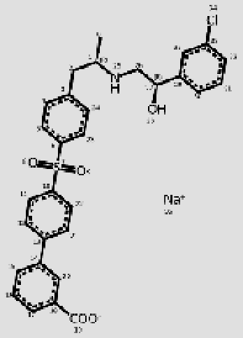 C[C@H](Cc1ccc(S(=O)(=O)c2ccc(-c3cccc(C(=O)[O-])c3)cc2)cc1)NC[C@H](O)c1cccc(Cl)c1.[Na+]